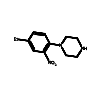 CCc1ccc(N2CCNCC2)c([N+](=O)[O-])c1